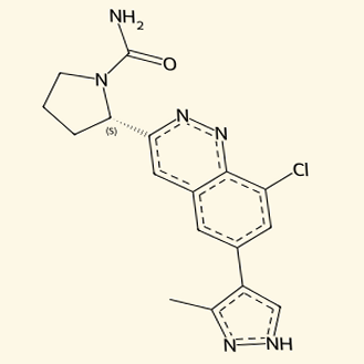 Cc1n[nH]cc1-c1cc(Cl)c2nnc([C@@H]3CCCN3C(N)=O)cc2c1